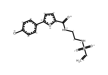 C=CS(=O)(=O)NCCNC(=O)c1ccc(-c2ccc(Cl)cc2)o1